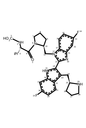 CC(C)[C@H](NC(=O)O)C(=O)N1CCC[C@H]1Cn1c(-c2[nH]c3cc(F)ccc3c2C[C@@H]2CCCN2)nc2cc(F)ccc21